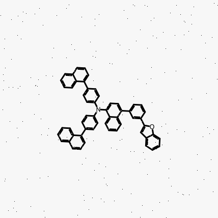 c1cc(-c2cc3ccccc3o2)cc(-c2ccc(N(c3ccc(-c4cccc5ccccc45)cc3)c3ccc(-c4cccc5ccccc45)cc3)c3ccccc23)c1